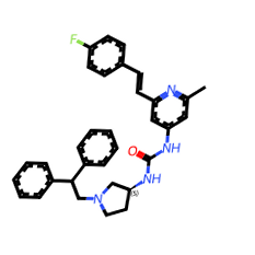 Cc1cc(NC(=O)N[C@H]2CCN(CC(c3ccccc3)c3ccccc3)C2)cc(C=Cc2ccc(F)cc2)n1